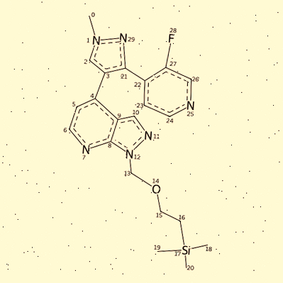 Cn1cc(-c2ccnc3c2cnn3COCC[Si](C)(C)C)c(-c2ccncc2F)n1